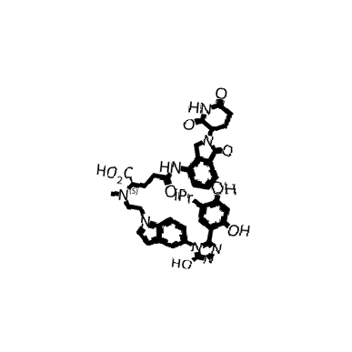 CC(C)c1cc(-c2nnc(O)n2-c2ccc3c(ccn3CCN(C)[C@@H](CCC(=O)Nc3cccc4c3CN(C3CCC(=O)NC3=O)C4=O)C(=O)O)c2)c(O)cc1O